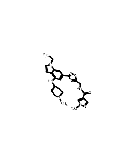 CN1CCC(Nc2cc(-c3noc(CNC(=O)c4cnn(C(C)(C)C)c4)n3)cc3c2ccn3CC(F)(F)F)CC1